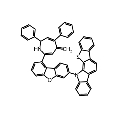 C=C1C=C(c2cccc3oc4cc(-n5c6ccccc6c6ccc7c8ccccc8sc7c65)ccc4c23)NC(c2ccccc2)C=C1c1ccccc1